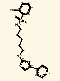 O=S(=O)(NCCCCCNc1nc(-c2ccncc2)cs1)c1ccccc1F